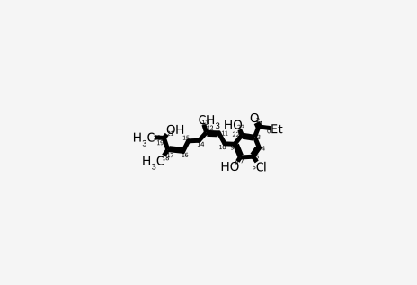 CCC(=O)c1cc(Cl)c(O)c(CC=C(C)CCC=C(C)C(C)O)c1O